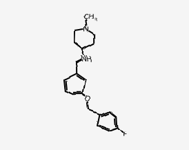 CN1CCC(NCc2cccc(OCc3ccc(F)cc3)c2)CC1